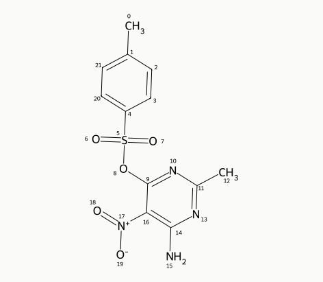 Cc1ccc(S(=O)(=O)Oc2nc(C)nc(N)c2[N+](=O)[O-])cc1